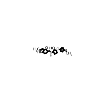 CSc1ccc(OC2CCC(NCC3CCc4[nH]c(C)cc4C3=O)C2O)cc1